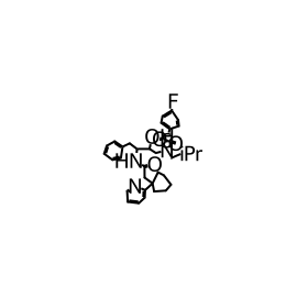 CC(C)CN(CC(O)C(Cc1ccccc1)NC(=O)CC1(c2ccccn2)CCCCC1)S(=O)(=O)c1ccc(F)cc1